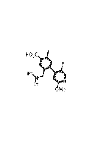 CCN(Cc1cc(C(=O)O)c(C)cc1-c1cc(OC)ncc1F)C(C)C